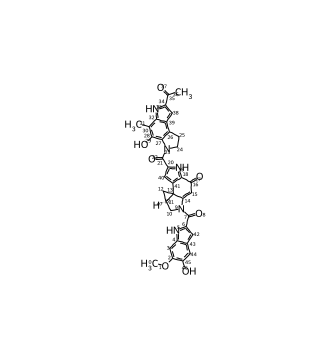 COc1cc2[nH]c(C(=O)N3C[C@H]4CC45C3=CC(=O)c3[nH]c(C(=O)N4CCc6c4c(O)c(C)c4[nH]c(C(C)=O)cc64)cc35)cc2cc1O